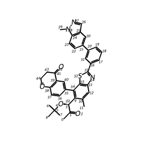 CC(=O)[C@@H](OC(C)(C)C)c1c(C)cc2nc(-c3cccc(-c4ccc5c(cnn5C)c4)c3)sc2c1-c1ccc2c(c1)C(=O)CCO2